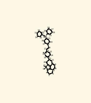 CC1(C)c2cccc3ccc4cc(-c5ccc(/C=C/c6ccc(N(c7ccccc7)c7ccccc7)cc6)nc5)cc1c4c23